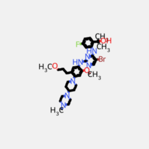 COCCCc1cc(Nc2ncc(Br)c(Nc3cc(F)ccc3C(C)(C)O)n2)c(OC)cc1N1CCC(N2CCN(C)CC2)CC1